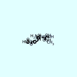 CCNC(=O)[C@@H](OCn1cnc2c(N)nc(CC3CCN(C(=O)OC4CCNC4=O)CC3)nc21)C(O)CO